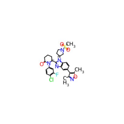 Cc1noc(C)c1-c1ccc2c(c1)nc([C@@H]1CCCC(=O)N1c1ccc(Cl)c(F)c1)n2[C@@H]1CCN(S(C)(=O)=O)C1